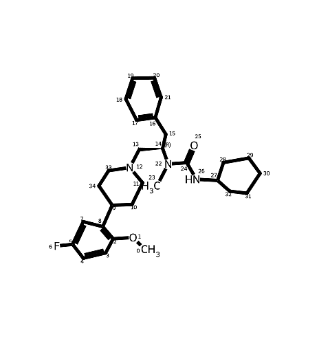 COc1ccc(F)cc1C1CCN(C[C@@H](Cc2ccccc2)N(C)C(=O)NC2CCCCC2)CC1